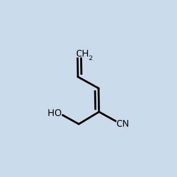 C=CC=C(C#N)CO